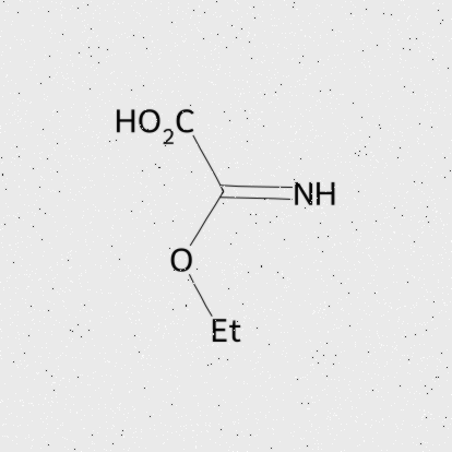 CCOC(=N)C(=O)O